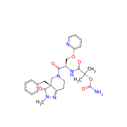 CN1N=C2CCN(C(=O)[C@@H](COc3ccccn3)NC(=O)C(C)(C)OC(N)=O)C[C@@]2(Cc2ccccc2)C1=O